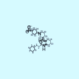 O=C(CCc1ccccc1)N[C@@H]1CCCC[C@H]1NC1CCCN(c2ccc([N+](=O)[O-])cc2)C1